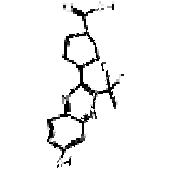 O=C(O)C1CCC(c2nc3ccc(O)cc3nc2C(F)(F)F)CC1